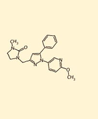 COc1ccc(-n2nc(CN3CCN(C)C3=O)cc2-c2ccccc2)cn1